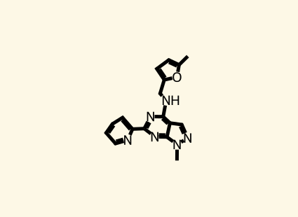 Cc1ccc(CNc2nc(-c3ccccn3)nc3c2cnn3C)o1